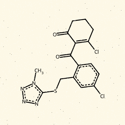 Cn1nnnc1SCc1cc(Cl)ccc1C(=O)C1=C(Cl)CCCC1=O